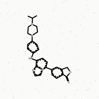 CC(C)N1CCN(c2ccc(Nc3ccc(-c4ccc5c(c4)COC5=O)n4ccnc34)cc2)CC1